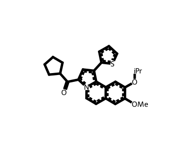 COc1cc2ccn3c(C(=O)C4CCCC4)cc(-c4cccs4)c3c2cc1OC(C)C